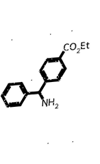 CCOC(=O)c1ccc(C(N)c2ccccc2)cc1